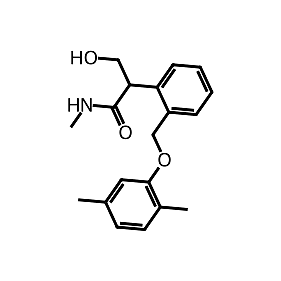 CNC(=O)C(CO)c1ccccc1COc1cc(C)ccc1C